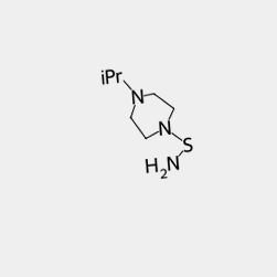 CC(C)N1CCN(SN)CC1